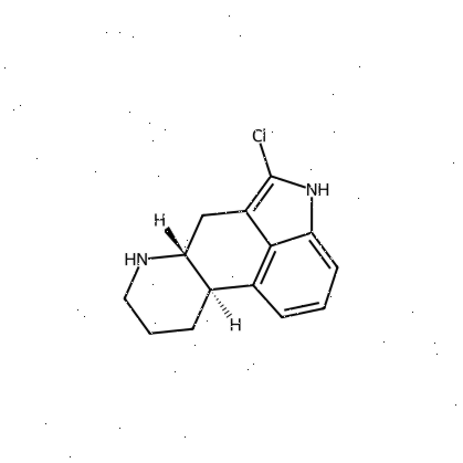 Clc1[nH]c2cccc3c2c1C[C@H]1NCCC[C@H]31